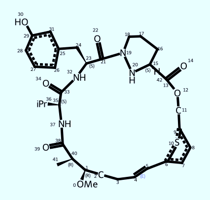 CO[C@@H]1CC/C=C/c2ccc(s2)COC(=O)[C@@H]2CCCN(N2)C(=O)[C@H](Cc2cccc(O)c2)NC(=O)[C@H](C(C)C)NC(=O)[C@@H]1C